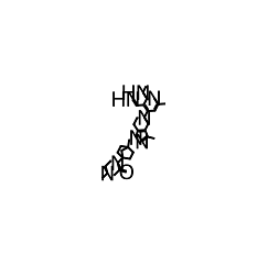 CNc1nc(C)cc(N2CCc3c(c(C)nn3CC34CCC(N5CCN(C)CC5=O)(CC3)C4)C2)c1C=N